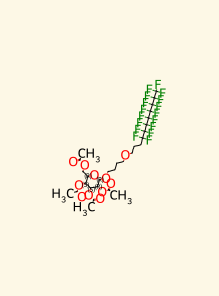 CC(=O)OC[C@H]1O[C@@H](OCCCCOCCCC(F)(F)C(F)(F)C(F)(F)C(F)(F)C(F)(F)C(F)(F)C(F)(F)C(F)(F)F)[C@H](OC(C)=O)[C@@H](OC(C)=O)[C@H]1OC(C)=O